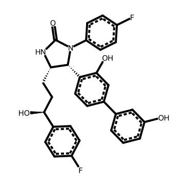 O=C1N[C@@H](CC[C@H](O)c2ccc(F)cc2)[C@@H](c2ccc(-c3cccc(O)c3)cc2O)N1c1ccc(F)cc1